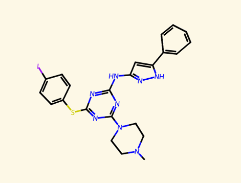 CN1CCN(c2nc(Nc3cc(-c4ccccc4)[nH]n3)nc(Sc3ccc(I)cc3)n2)CC1